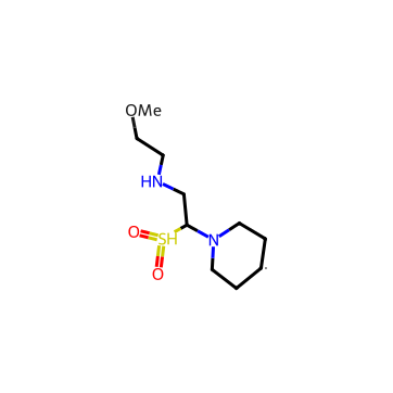 COCCNCC(N1CC[CH]CC1)[SH](=O)=O